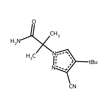 CC(C)(C)c1cn(C(C)(C)C(N)=O)nc1C#N